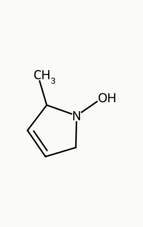 CC1C=CCN1O